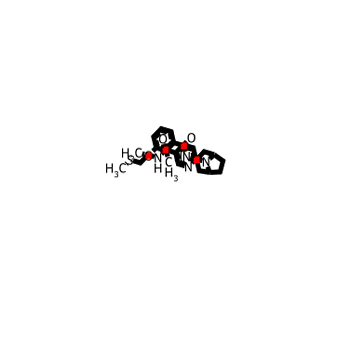 COc1cccc(C(=O)NC2CC3CCC(C2)N3c2ccc(C(=O)NCCSC)cn2)c1C